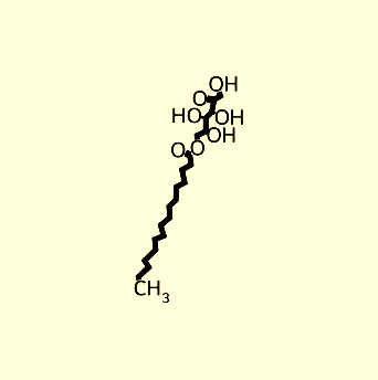 CCCCCCCCCCCCCCCC(=O)OC[C@@H](O)[C@@H](O)[C@H](O)C(=O)CO